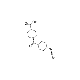 [N-]=[N+]=NC1CCC(C(=O)N2CCC(C(=O)O)CC2)CC1